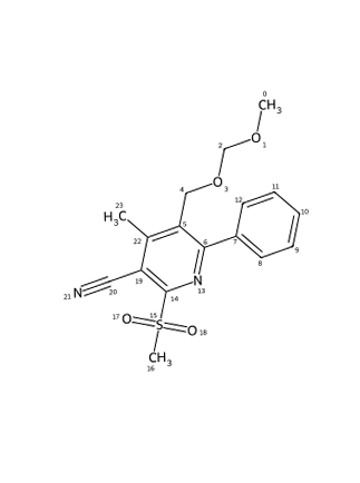 COCOCc1c(-c2ccccc2)nc(S(C)(=O)=O)c(C#N)c1C